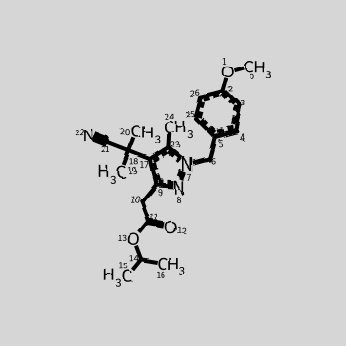 COc1ccc(Cn2nc(CC(=O)OC(C)C)c(C(C)(C)C#N)c2C)cc1